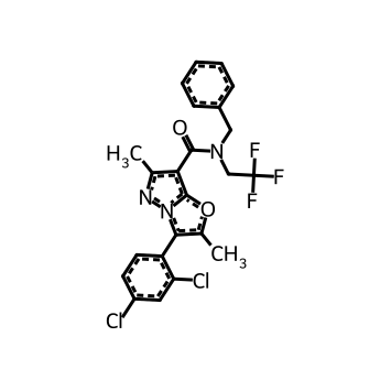 Cc1nn2c(-c3ccc(Cl)cc3Cl)c(C)oc2c1C(=O)N(Cc1ccccc1)CC(F)(F)F